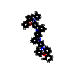 C=Cc1oc2c(N(c3ccc4c(c3)c3cccc5c6cc7c(cc6n4c35)c3cccc4c5cc(N(c6ccccc6C)c6cccc8c6oc6ccccc68)ccc5n7c43)c3ccccc3C)cccc2c1/C=C\C